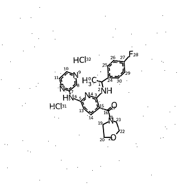 CC(Nc1nc(Nc2cnccn2)ccc1C(=O)N1CCOCC1)c1ccc(F)cc1.Cl.Cl